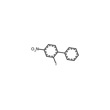 O=[N+]([O-])c1ccc(-c2ccccc2)c(I)c1